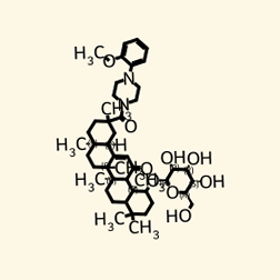 COc1ccccc1N1CCN(C(=O)C2(C)CC[C@]3(C)CC[C@]4(C)C(=CC(=O)C5[C@@]6(C)C(O[C@@H]7O[C@H](CO)[C@@H](O)[C@@H](O)[C@H]7O)CCC(C)(C)C6CC[C@]54C)[C@@H]3C2)CC1